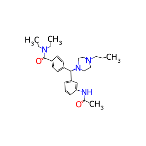 CCCN1CCN([C@H](c2ccc(C(=O)N(CC)CC)cc2)c2cccc(NC(C)=O)c2)CC1